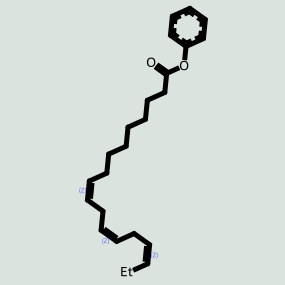 CC/C=C\C/C=C\C/C=C\CCCCCCCC(=O)Oc1ccccc1